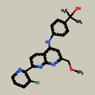 COCc1cc(Nc2ccc(C(C)(C)O)cc2)c2ccc(-c3ncccc3Cl)nc2n1